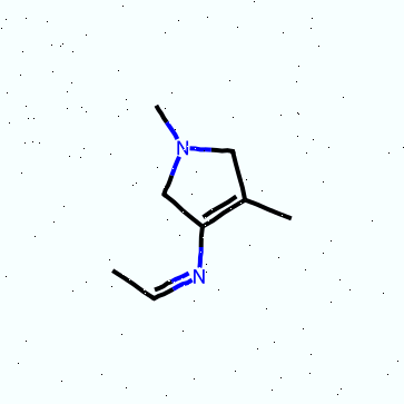 C/C=N\C1=C(C)CN(C)C1